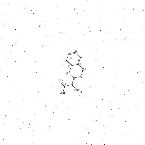 NN(C(=O)O)C1COc2ccccc2C1